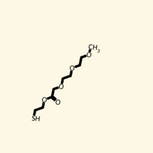 COCCOCCOCC(=O)OCCS